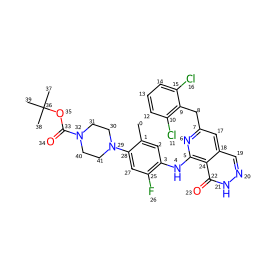 Cc1cc(Nc2nc(Cc3c(Cl)cccc3Cl)cc3cn[nH]c(=O)c23)c(F)cc1N1CCN(C(=O)OC(C)(C)C)CC1